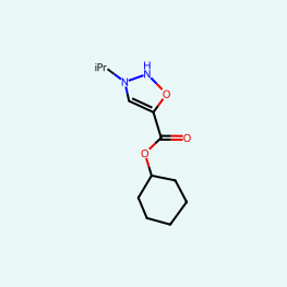 CC(C)N1C=C(C(=O)OC2CCCCC2)ON1